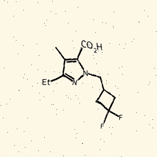 CCc1nn(CC2CC(F)(F)C2)c(C(=O)O)c1C